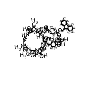 C[C@@H](O)C1NC(=O)[C@@H](N)CCCNC(=O)[C@@H]2[C@@H](O)[C@@H](C)CN2C(=O)[C@H]([C@H](O)CC(=O)N2CCN(C(=O)OCC3c4ccccc4-c4ccccc43)CC2)NC(=O)[C@H]([C@H](O)Cc2ccc(O)c(OS(=O)(=O)O)c2)NC(=O)[C@@H]2C[C@@H](O)CN2C1=O